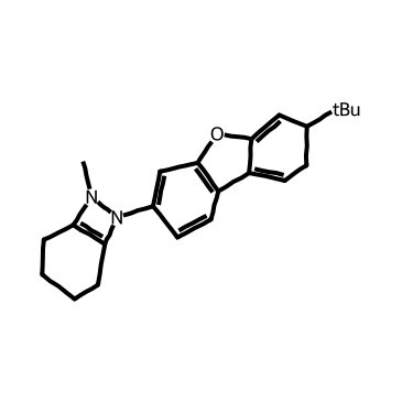 Cn1c2c(n1-c1ccc3c4c(oc3c1)=CC(C(C)(C)C)CC=4)CCCC2